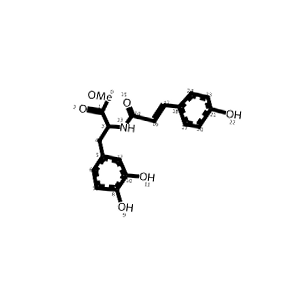 COC(=O)C(Cc1ccc(O)c(O)c1)NC(=O)C=Cc1ccc(O)cc1